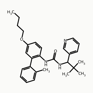 CCCCOc1ccc(NC(=O)NC(c2cccnc2)C(C)(C)C)c(-c2ccccc2C)c1